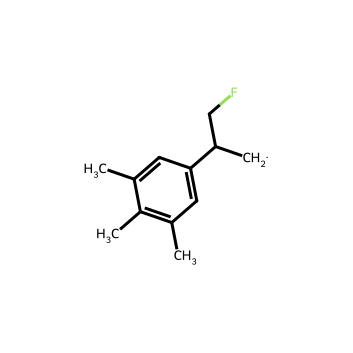 [CH2]C(CF)c1cc(C)c(C)c(C)c1